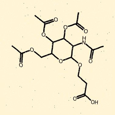 CC(=O)NC1C(OCCC(=O)O)OC(COC(C)=O)C(OC(C)=O)C1OC(C)=O